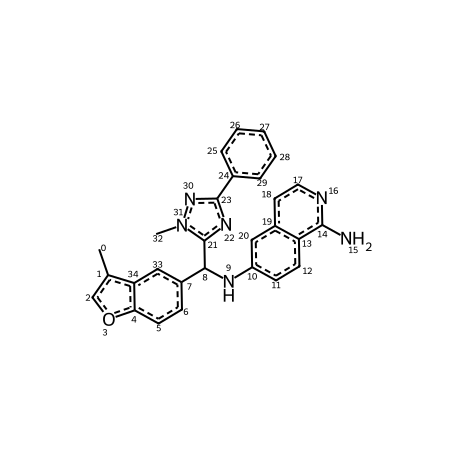 Cc1coc2ccc(C(Nc3ccc4c(N)nccc4c3)c3nc(-c4ccccc4)nn3C)cc12